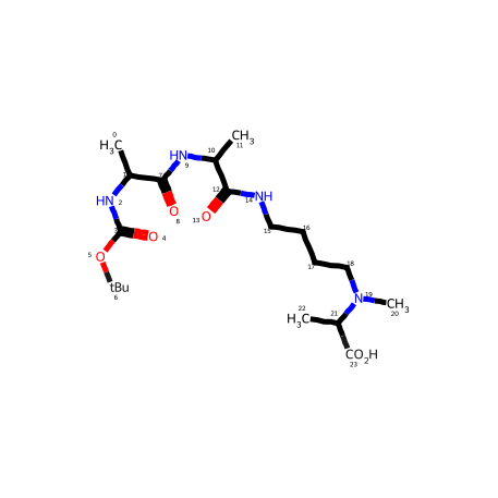 CC(NC(=O)OC(C)(C)C)C(=O)NC(C)C(=O)NCCCCN(C)C(C)C(=O)O